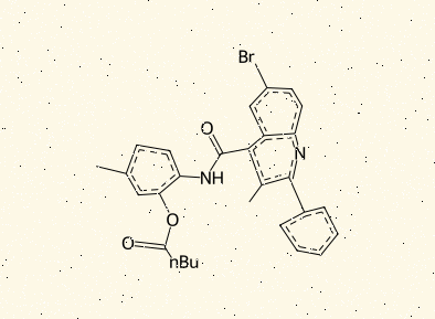 CCCCC(=O)Oc1cc(C)ccc1NC(=O)c1c(C)c(-c2ccccc2)nc2ccc(Br)cc12